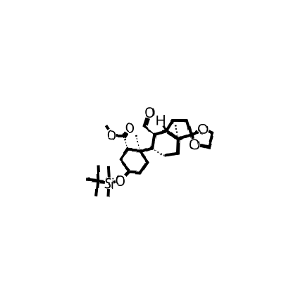 COC(=O)[C@H]1CC(O[Si](C)(C)C(C)(C)C)CC[C@]1(C)[C@H]1CC[C@@]2(C)[C@@H](CCC23OCCO3)[C@@H]1C=O